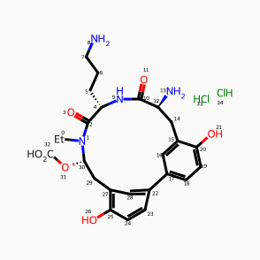 CCN1C(=O)[C@H](CCCN)NC(=O)[C@@H](N)Cc2cc(ccc2O)-c2ccc(O)c(c2)C[C@@H]1OC(=O)O.Cl.Cl